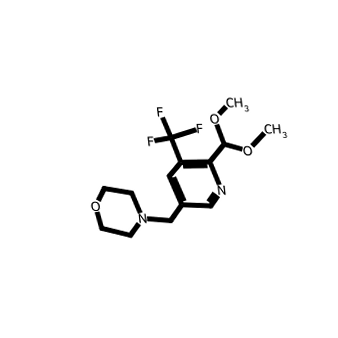 COC(OC)c1ncc(CN2CCOCC2)cc1C(F)(F)F